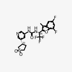 Cc1c([C@@H](NC(=O)Nc2cncc([C@@H]3CCS(=O)(=O)C3)c2)C(F)(F)F)oc2c(F)cc(F)cc12